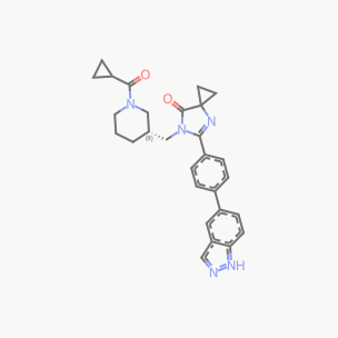 O=C(C1CC1)N1CCC[C@@H](CN2C(=O)C3(CC3)N=C2c2ccc(-c3ccc4[nH]ncc4c3)cc2)C1